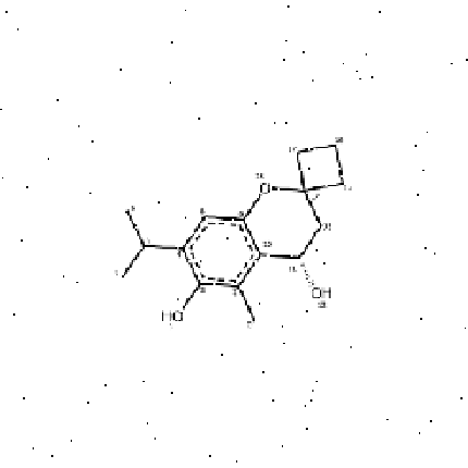 Cc1c(O)c(C(C)C)cc2c1[C@@H](O)CC1(CCC1)O2